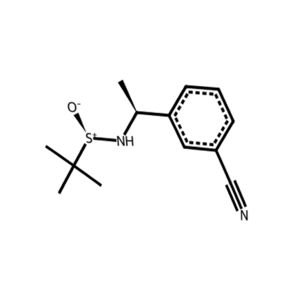 C[C@H](N[S@+]([O-])C(C)(C)C)c1cccc(C#N)c1